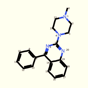 CN1CCN(c2nc(-c3ccccc3)c3ccccc3n2)CC1